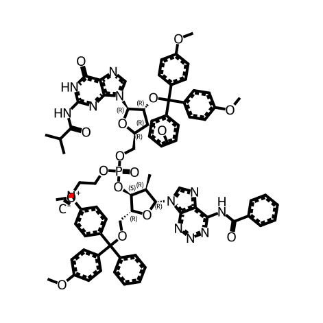 [C-]#[N+]CCOP(=O)(OC[C@H]1O[C@@H](n2cnc3c(=O)[nH]c(NC(=O)C(C)C)nc32)[C@H](OC(c2ccccc2)(c2ccc(OC)cc2)c2ccc(OC)cc2)[C@@H]1OC)O[C@H]1[C@@H](C)[C@H](n2cnc3c(NC(=O)c4ccccc4)nnnc32)O[C@@H]1COC(c1ccccc1)(c1ccc(OC)cc1)c1ccc(OC)cc1